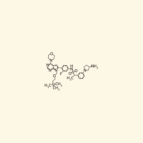 CC(c1cccc(N2CC[C@@H](N)C2)c1)S(=O)(=O)Nc1ccc(-c2cc3c(N4CCOCC4)ncnc3n2COCC[Si](C)(C)C)c(F)c1